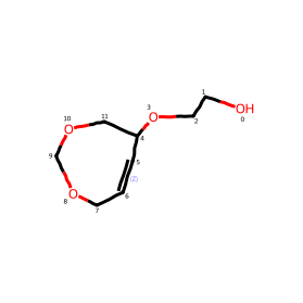 OCCOC1/C=C\COCOC1